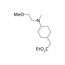 CCOC(=O)CC1CCC(N(C)CCOC)CC1